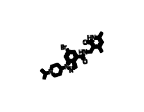 Cc1cc(C)c(CNC(=O)c2cc(Br)cc3c2cnn3C2CCN(C(C)C)CC2)c(=O)[nH]1